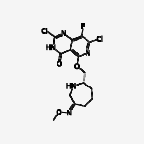 CON=C1CCC[C@@H](COc2nc(Cl)c(F)c3nc(Cl)[nH]c(=O)c23)NC1